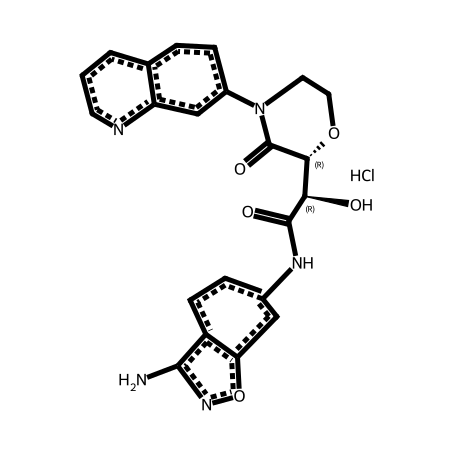 Cl.Nc1noc2cc(NC(=O)[C@H](O)[C@H]3OCCN(c4ccc5cccnc5c4)C3=O)ccc12